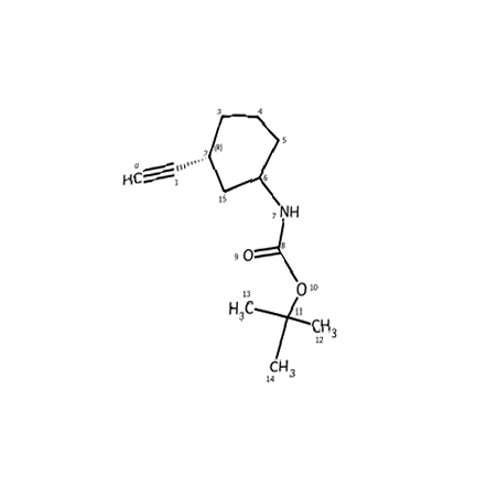 C#C[C@@H]1CCCC(NC(=O)OC(C)(C)C)C1